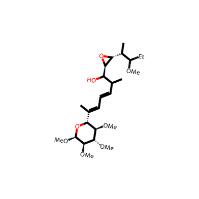 CCC(OC)C(C)[C@H]1O[C@@H]1C(O)C(C)/C=C/C=C(\C)[C@H]1O[C@H](OC)[C@H](OC)[C@@H](OC)[C@@H]1OC